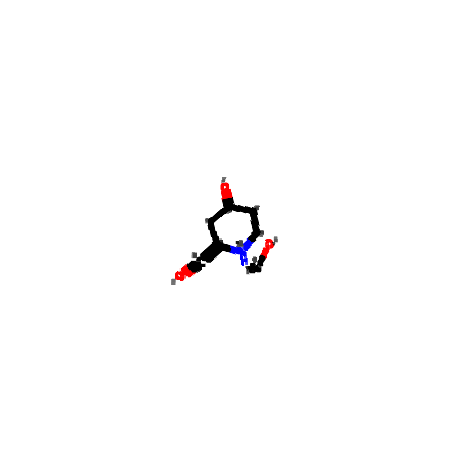 CCCC[O].O=C=C1CC(=O)CCN1